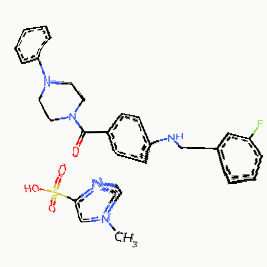 Cn1cnc(S(=O)(=O)O)c1.O=C(c1ccc(NCc2cccc(F)c2)cc1)N1CCN(c2ccccc2)CC1